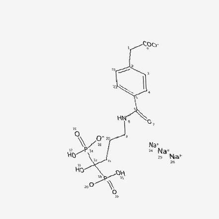 O=C([O-])Cc1ccc(C(=O)NCCCC(O)(P(=O)([O-])O)P(=O)([O-])O)cc1.[Na+].[Na+].[Na+]